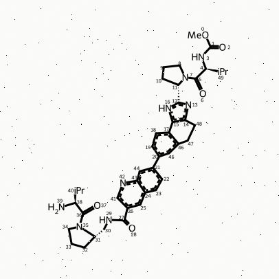 COC(=O)N[C@H](C(=O)N1CCC[C@H]1c1nc2c([nH]1)-c1ccc(-c3ccc4cc(C(=O)NC[C@@H]5CCCN5C(=O)[C@@H](N)C(C)C)cnc4c3)cc1CC2)C(C)C